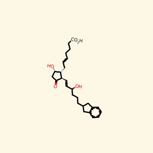 O=C(O)CCCC=CC[C@H]1[C@@H](O)CC(=O)[C@@H]1C=CC(O)CCCC1Cc2ccccc2C1